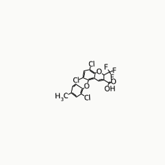 Cc1ccc(Oc2c(Cl)cc(Cl)c3c2C=C(C(=O)O)C(C(F)(F)F)O3)c(Cl)c1